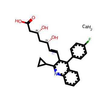 O=C(O)C[C@H](O)C[C@H](O)/C=C/c1c(C2CC2)nc2ccccc2c1-c1ccc(F)cc1.[CaH2]